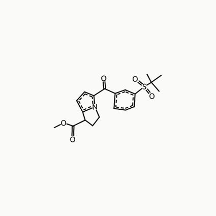 COC(=O)C1CCn2c(C(=O)c3cccc(S(=O)(=O)C(C)(C)C)c3)ccc21